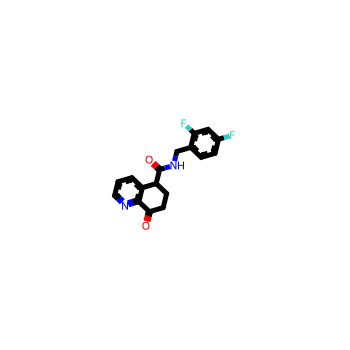 O=C1CCC(C(=O)NCc2ccc(F)cc2F)c2cccnc21